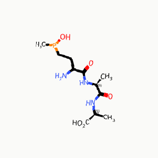 C[C@H](NC(=O)[C@H](C)NC(=O)C(N)CCP(C)O)C(=O)O